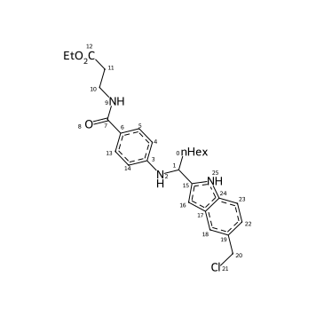 CCCCCCC(Nc1ccc(C(=O)NCCC(=O)OCC)cc1)c1cc2cc(CCl)ccc2[nH]1